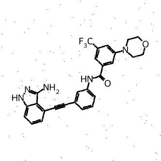 Nc1n[nH]c2cccc(C#Cc3cccc(NC(=O)c4cc(N5CCOCC5)cc(C(F)(F)F)c4)c3)c12